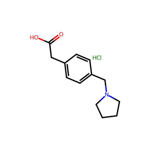 Cl.O=C(O)Cc1ccc(CN2CCCC2)cc1